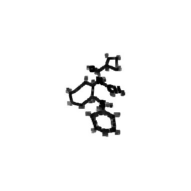 CN(C(=O)C1CCC1)C1CCCCC1Sc1ccccc1